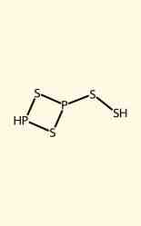 SSP1SPS1